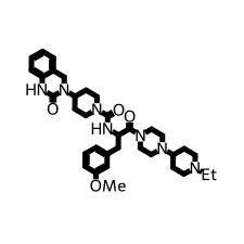 CCN1CCC(N2CCN(C(=O)C(Cc3cccc(OC)c3)NC(=O)N3CCC(N4Cc5ccccc5NC4=O)CC3)CC2)CC1